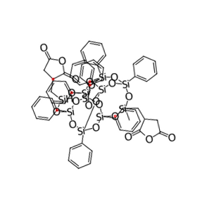 C[Si]1(CC2CC(=O)OC2=O)O[Si]2(c3ccccc3)O[Si]3(c4ccccc4)O[Si]4(c5ccccc5)O[SiH](CC5CC(=O)OC5=O)O[Si]5(c6ccccc6)O[Si](c6ccccc6)(O[Si](c6ccccc6)(O1)O[Si](c1ccccc1)(O5)O[Si](c1ccccc1)(O4)O2)O3